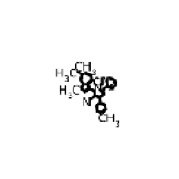 Cc1ccc(-c2cc(-c3ccccn3)nc(-c3cc(C)c4cc(C(C)C)ccc(C)c3-4)c2C#N)cc1